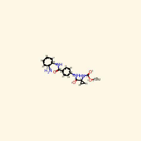 CC(C)(C)OC(=O)NC1(C(=O)Nc2ccc(C(=O)Nc3ccccc3N)cc2)CC1